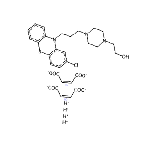 O=C([O-])/C=C\C(=O)[O-].O=C([O-])/C=C\C(=O)[O-].OCCN1CCN(CCCN2c3ccccc3Sc3ccc(Cl)cc32)CC1.[H+].[H+].[H+].[H+]